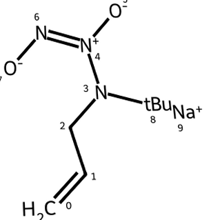 C=CCN(/[N+]([O-])=N\[O-])C(C)(C)C.[Na+]